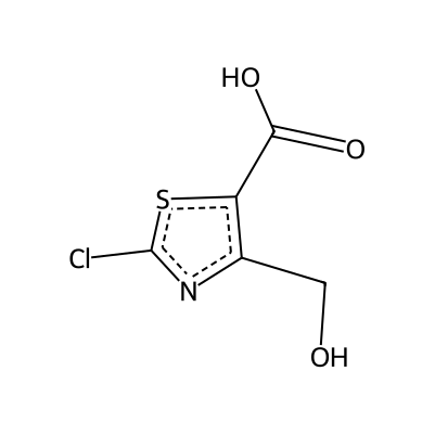 O=C(O)c1sc(Cl)nc1CO